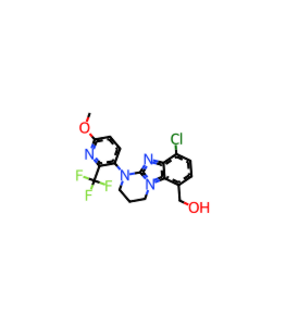 COc1ccc(N2CCCn3c2nc2c(Cl)ccc(CO)c23)c(C(F)(F)F)n1